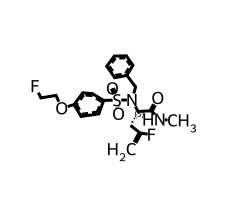 C=C(F)C[C@@H](C(=O)NC)N(Cc1ccccc1)S(=O)(=O)c1ccc(OCCF)cc1